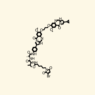 COc1cc2c(cc1OCCCOc1cc3c(cc1OC)C(=O)N1C=C(C4CC4)C[C@@H]1C=N3)N=C[C@H]1CC(c3ccc(NC(=O)[C@@H](C)NC(=O)[C@H](NC(=O)CCCCCN4C(=O)C=C(Br)C4=O)C(C)C)cc3)=CN1C2=O